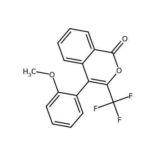 COc1ccccc1-c1c(C(F)(F)F)oc(=O)c2ccccc12